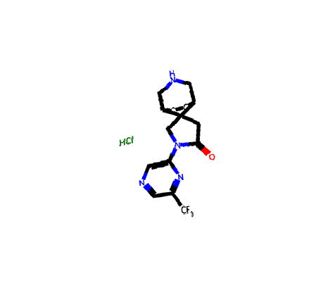 Cl.O=C1CC2(CN1c1cncc(C(F)(F)F)n1)C1CCC2CNC1